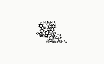 CCCC[C@H](NC(C)=O)C(=O)N[C@@H](C)C(=O)N[C@@H](Cc1c[nH]cn1)C(=O)N[C@H](Cc1ccccc1)C(=O)N[C@@H](CCCNC(N)N)C(=O)N1CCC[C@H]1C(=O)N[C@H](Cc1c[nH]c2ccccc12)C(N)=O